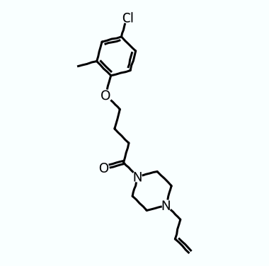 C=CCN1CCN(C(=O)CCCOc2ccc(Cl)cc2C)CC1